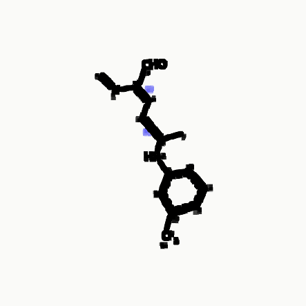 C=N/C(C=O)=C\C=C(/C)Nc1cccc(C(F)(F)F)c1